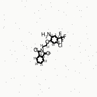 Nc1cc(C(F)(F)F)c(Cl)cc1OCCN1C(=O)c2ccccc2C1=O